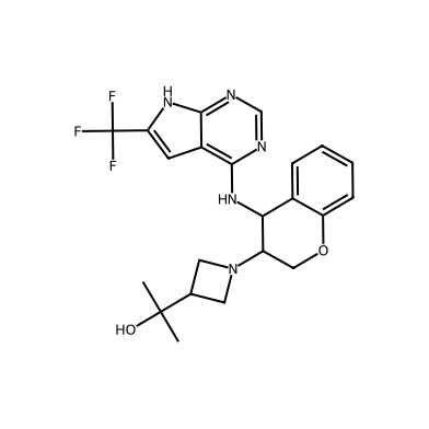 CC(C)(O)C1CN(C2COc3ccccc3C2Nc2ncnc3[nH]c(C(F)(F)F)cc23)C1